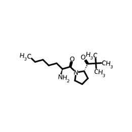 CCCCC[C@H](N)C(=O)N1CCC[C@H]1C(=O)C(C)(C)C